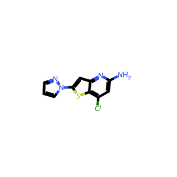 Nc1cc(Cl)c2sc(-n3cccn3)cc2n1